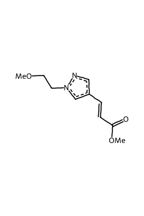 COCCn1cc(C=CC(=O)OC)cn1